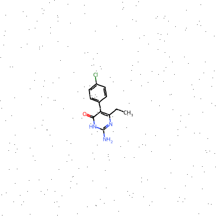 CCc1nc(N)[nH]c(=O)c1-c1ccc(Cl)cc1